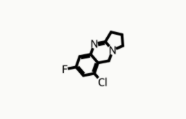 Fc1cc(Cl)c2c(c1)N=C1CCCN1C2